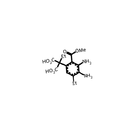 CCc1cc(C(CC)(C(=O)O)C(=O)O)c(C(=O)OC)c(N)c1N